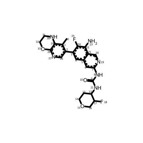 Cc1c(-c2cc3cc(NC(=O)NC4CCOCC4F)ncc3c(N)c2F)cnc2c1NCCO2